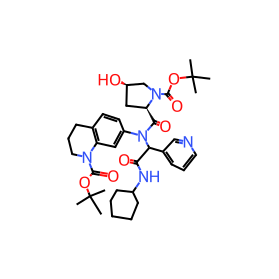 CC(C)(C)OC(=O)N1CCCc2ccc(N(C(=O)[C@H]3C[C@@H](O)CN3C(=O)OC(C)(C)C)C(C(=O)NC3CCCCC3)c3cccnc3)cc21